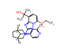 CC(C)(O)c1ccc(OCC(F)(F)F)n2nc(NC3[C@@H]4CC[C@H]3CN(c3ccnc(C(F)(F)F)c3)C4)nc12